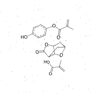 C=C(C)C(=O)O.C=C(C)C(=O)Oc1ccc(O)cc1.O=C1OC2[CH]C3CC1C2O3